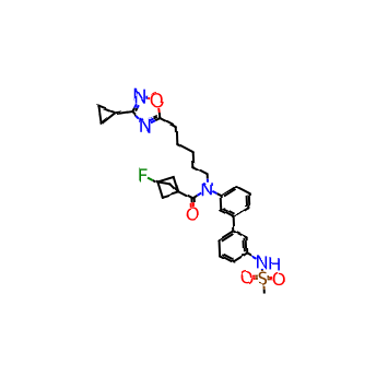 CS(=O)(=O)Nc1cccc(-c2cccc(N(CCCCCc3nc(C4CC4)no3)C(=O)C34CC(F)(C3)C4)c2)c1